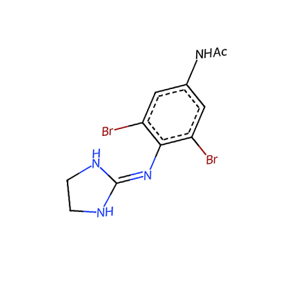 CC(=O)Nc1cc(Br)c(N=C2NCCN2)c(Br)c1